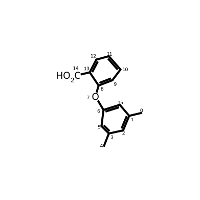 Cc1cc(C)cc(Oc2ccccc2C(=O)O)c1